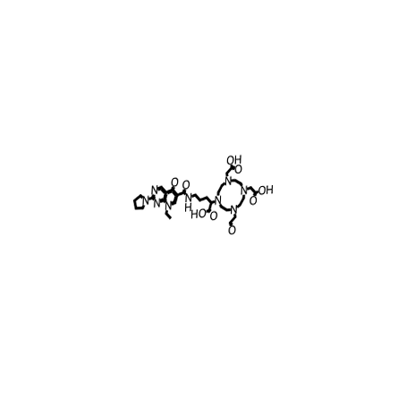 CCn1cc(C(=O)NCCCC(C(=O)O)N2CCN(CC=O)CCN(CC(=O)O)CCN(CC(=O)O)CC2)c(=O)c2cnc(N3CCCC3)nc21